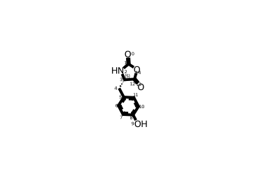 O=C1N[C@@H](Cc2ccc(O)cc2)C(=O)O1